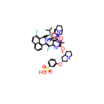 CC(C)[Si](C#Cc1c(F)ccc2cccc(-c3ncc4c(N5CC6CCC(C5)N6C(=O)OC(C)(C)C)nc(OC[C@]56CCCN5C[C@H](Oc5cccc(S(=O)(=O)O)c5)C6)nc4c3F)c12)(C(C)C)C(C)C